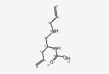 C=CCNCC(CC=C)NC(=O)O